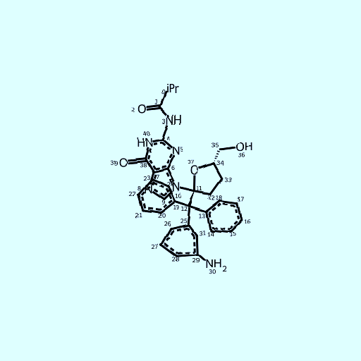 CC(C)C(=O)Nc1nc2c(ncn2[C@@]2(C(c3ccccc3)(c3ccccc3)c3cccc(N)c3)CC[C@@H](CO)O2)c(=O)[nH]1